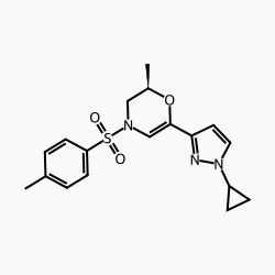 Cc1ccc(S(=O)(=O)N2C=C(c3ccn(C4CC4)n3)O[C@H](C)C2)cc1